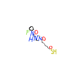 O=C(CS)CCCCCC(=O)N1CCN(CC(=O)Nc2ccccc2F)CC1